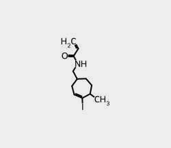 C=CC(=O)NCC1CC=C(I)C(C)CC1